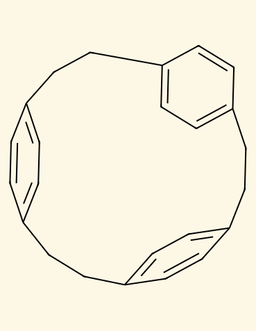 c1cc2ccc1CCc1ccc(cc1)CCc1ccc(cc1)CC2